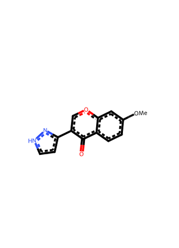 COc1ccc2c(=O)c(-c3cc[nH]n3)coc2c1